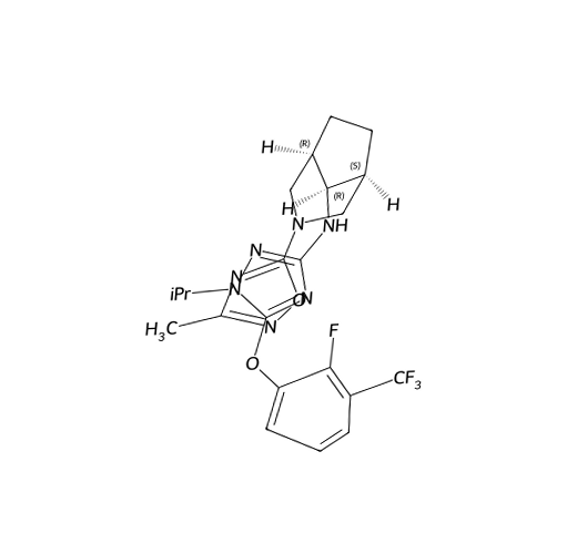 Cc1noc(N2C[C@H]3CC[C@@H](C2)[C@H]3Nc2nc(Oc3cccc(C(F)(F)F)c3F)n(C(C)C)n2)n1